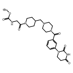 CC(C)(C)OC(=O)NCC(=O)N1CCC(CN2CCN(C(=O)c3cccc(N4CCC(=O)NC4=O)c3)CC2)CC1